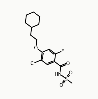 CS(=O)(=O)NC(=O)c1cc(Cl)c(OCCC2CCCCC2)cc1F